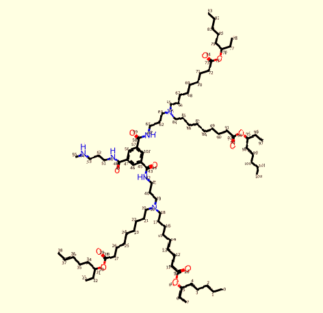 CCCCCC(CC)OC(=O)CCCCCCCCN(CCCCCCCCC(=O)OC(CC)CCCCC)CCCNC(=O)c1cc(C(=O)NCCCNC)cc(C(=O)NCCCN(CCCCCCCCC(=O)OC(CC)CCCCC)CCCCCCCCC(=O)OC(CC)CCCCC)c1